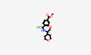 COC(=O)c1ccc2c(c1)OCC(C1CCOCC1)NC2.Cl